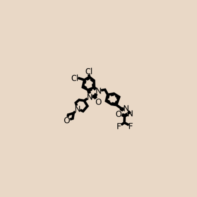 O=c1n(Cc2ccc(-c3nnc(C(F)F)o3)cc2)c2cc(Cl)c(Cl)cc2n1C1CCN(C2COC2)CC1